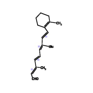 CC1=C(/C=C/C(=C/C=C/C(C)=C/C=O)C(C)(C)C)CCCC1